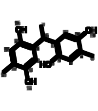 Cc1cc(O)c(C(C)c2cc(O)c(C)cc2O)cc1O